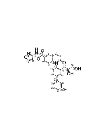 O=c1ccc2cc(S(=O)(=O)Nc3ccon3)ccc2n1-c1ccc(-c2cccc(F)c2)cc1C[C@H](O)CO